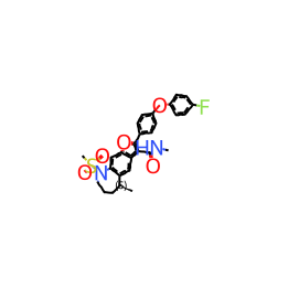 CNC(=O)c1c(-c2ccc(Oc3ccc(F)cc3)cc2)oc2cc3c(cc12)[C@@H](C)CCCN3S(C)(=O)=O